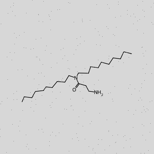 CCCCCCCCCCN(CCCCCCCCCC)C(=O)CCN